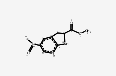 COC(=O)C1Cc2cc([N+](=O)[O-])cnc2N1